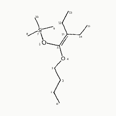 CCCCOC(O[Si](C)(C)C)=C(CC)CC